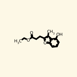 CCOC(=O)CCc1oc2cccc(O)c2c1C